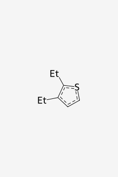 CCc1ccsc1CC